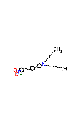 CCCCCCCCCN(CCCCCCCCC)c1ccc(-c2ccc(C=Cc3ccc([N+](=O)[O-])c(F)c3)cc2)cc1